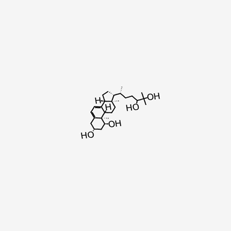 C[C@H](CCC(O)C(C)(C)O)[C@H]1CC[C@H]2C3=CC=C4C[C@@H](O)C[C@H](O)[C@]4(C)[C@H]3CC[C@]12C